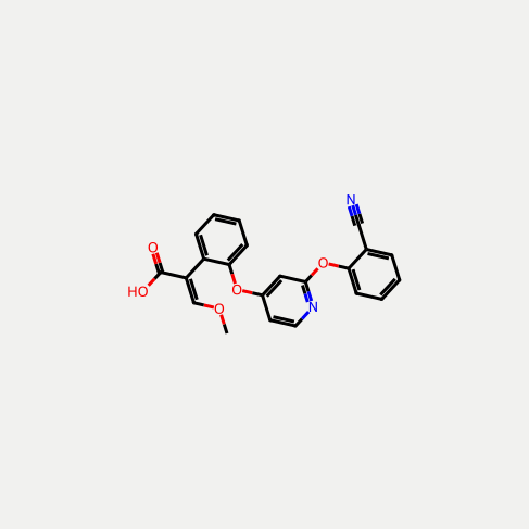 CO/C=C(/C(=O)O)c1ccccc1Oc1ccnc(Oc2ccccc2C#N)c1